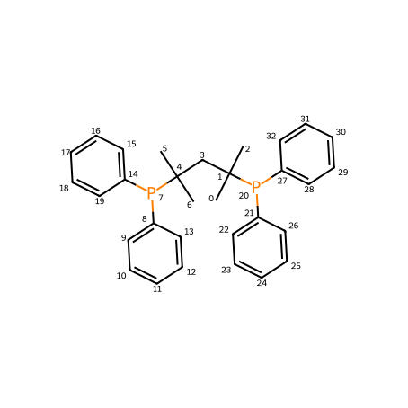 CC(C)(CC(C)(C)P(c1ccccc1)c1ccccc1)P(c1ccccc1)c1ccccc1